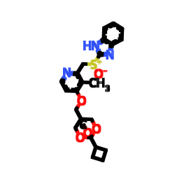 Cc1c(OCC23COC(C4CCC4)(OC2)OC3)ccnc1C[S+]([O-])c1nc2ccccc2[nH]1